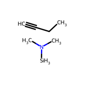 C#CCC.CN(C)[SiH3]